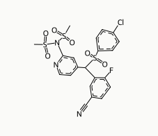 CS(=O)(=O)N(c1cc(C(c2cc(C#N)ccc2F)S(=O)(=O)c2ccc(Cl)cc2)ccn1)S(C)(=O)=O